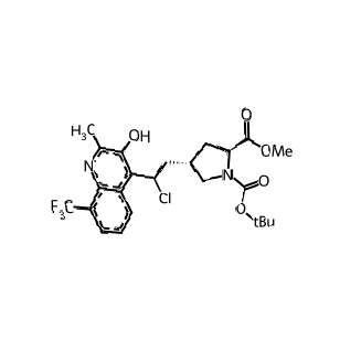 COC(=O)[C@@H]1C[C@@H](CC(Cl)c2c(O)c(C)nc3c(C(F)(F)F)cccc23)CN1C(=O)OC(C)(C)C